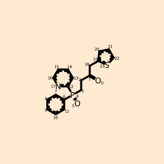 O=C(CCP(=O)(c1ccccc1)c1ccccn1)Cc1cccs1